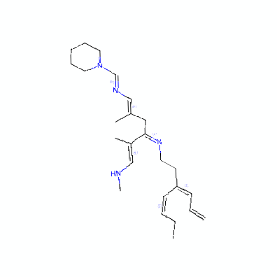 C=C/C=C(\C=C/CC)CC/N=C(C/C(C)=C/N=C/N1CCCCC1)\C(C)=C\NC